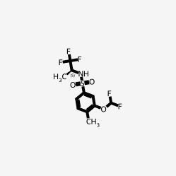 Cc1ccc(S(=O)(=O)N[C@@H](C)C(F)(F)F)cc1OC(F)F